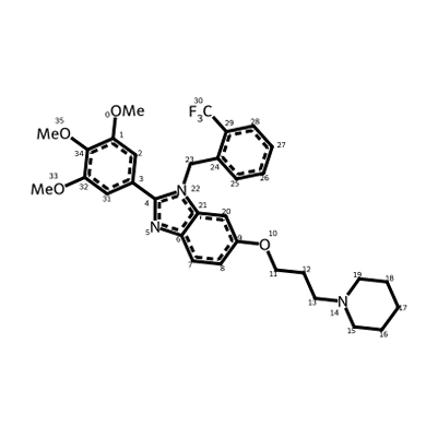 COc1cc(-c2nc3ccc(OCCCN4CCCCC4)cc3n2Cc2ccccc2C(F)(F)F)cc(OC)c1OC